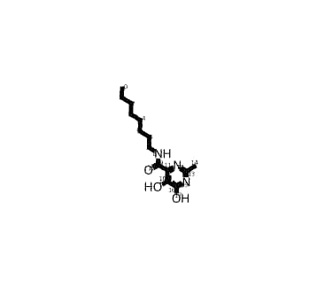 CCCCCCCCNC(=O)c1nc(C)nc(O)c1O